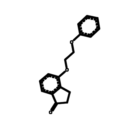 O=C1CCc2c(OCCOc3ccccc3)cccc21